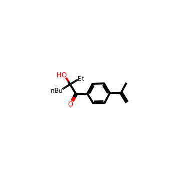 C=C(C)c1ccc(C(=O)C(O)(CC)CCCC)cc1